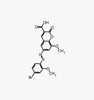 COc1cc(Br)ccc1/N=N/c1cc(OC)c2oc(=O)c(C(=O)O)cc2c1